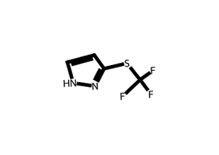 FC(F)(F)Sc1cc[nH]n1